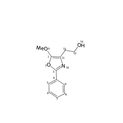 COc1oc(-c2ccccc2)nc1CCO